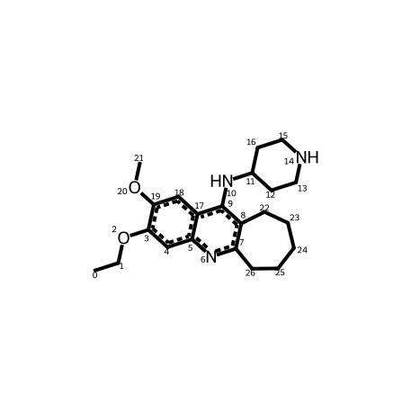 CCOc1cc2nc3c(c(NC4CCNCC4)c2cc1OC)CCCCC3